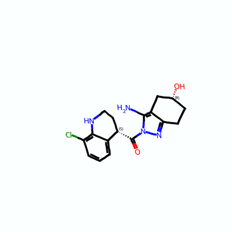 Nc1c2c(nn1C(=O)[C@H]1CCNc3c(Cl)cccc31)CC[C@@H](O)C2